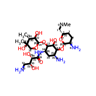 CNC[C@@H]1CCC(N)[C@@H](OC2C(O)C(O[C@H]3OCC(C)(O)[C@H](C)C3O)[C@H](NC(=O)[C@@H](O)[C@@H](O)CN)C[C@@H]2N)O1